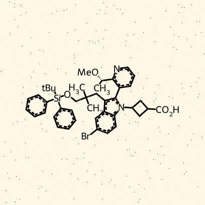 CO[C@@H](C)c1ncccc1-c1c(CC(C)(C)CO[Si](c2ccccc2)(c2ccccc2)C(C)(C)C)c2cc(Br)ccc2n1C1CC(C(=O)O)C1